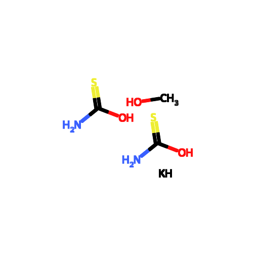 CO.NC(O)=S.NC(O)=S.[KH]